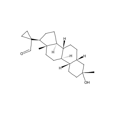 C[C@@]1(O)CC[C@H]2[C@H](CC[C@@H]3[C@@H]2CC[C@]2(C)[C@@H](C4(C=O)CC4)CC[C@@H]32)C1